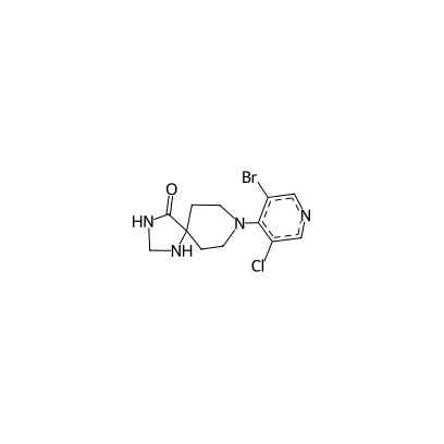 O=C1NCNC12CCN(c1c(Cl)cncc1Br)CC2